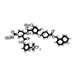 COc1cc(F)c(OC2CCC(C(=O)OCc3cccc4ccccc34)CC2)cc1C(=O)NC1CCN(C(=O)OC(C)(C)C)CC1C(=O)Nc1cccc(S(=O)(=O)C(F)(F)F)c1